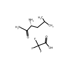 CC(C)C[C@@H](N)C(N)=O.O=C(O)C(F)(F)F